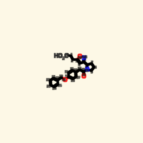 O=C(O)CCc1cc(C2CCCN2C(=O)Cc2ccc(OCc3ccccc3)cc2)no1